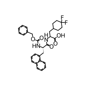 O=C(N[C@@H](Cc1cccc2ccccc12)C(=O)NC(CC1CCC(F)(F)CC1)C(=O)O)OCc1ccccc1